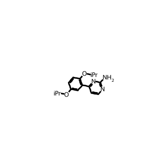 CC(C)Oc1ccc(OC(C)C)c(-c2ccnc(N)n2)c1